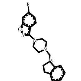 Fc1ccc2c(N3CCN(C[C@@H]4CCc5ccccc54)CC3)noc2c1